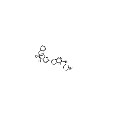 O=S(=O)(Cc1ccccc1)Nc1ccc(-c2ccc3nc(NC4CCCNC4)ncc3c2)cc1F